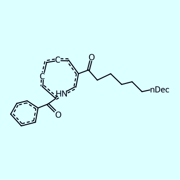 CCCCCCCCCCCCCCCC(=O)c1cccccc(C(=O)c2ccccc2)[nH]c1